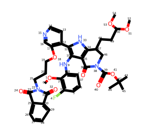 COc1c(F)cccc1Nc1c(-c2ccncc2OCCCN2C(=O)c3ccccc3C2=O)[nH]c2c1C(=O)N(C(=O)OC(C)(C)C)CC2CCC(OC)OC